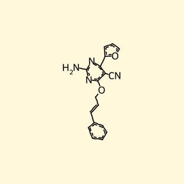 N#Cc1c(OCC=Cc2ccccc2)nc(N)nc1-c1ccco1